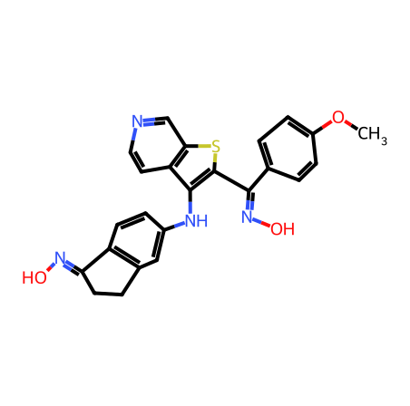 COc1ccc(C(=NO)c2sc3cnccc3c2Nc2ccc3c(c2)CCC3=NO)cc1